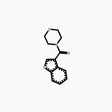 O=C(c1csc2ccccc12)N1CCOCC1